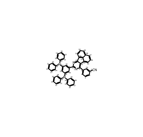 N#Cc1cccc(-c2nc(-c3cc(N(c4ccccc4)c4ccccc4)cc(N(c4ccccc4)c4ccccc4)c3)nc3c2-c2cccc4cccc-3c24)c1